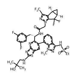 CCS(=O)(=O)Nc1nn(C)c2c(-c3cc4sc(NCC(C)(C)O)nc4nc3[C@H](Cc3cc(F)cc(F)c3)NC(=O)Cn3nc(C(F)(F)F)c4c3C(F)(F)[C@@H]3C[C@H]43)cccc12